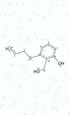 C=CCSc1cccc(O)c1CO